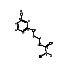 CC(Br)C(=O)OCCOc1cccc(Cl)c1